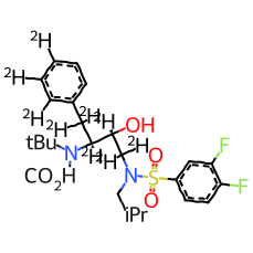 [2H]c1ccc(C([2H])([2H])[C@]([2H])(N(C(=O)O)C(C)(C)C)[C@]([2H])(O)C([2H])([2H])N(CC(C)C)S(=O)(=O)c2ccc(F)c(F)c2)c([2H])c1[2H]